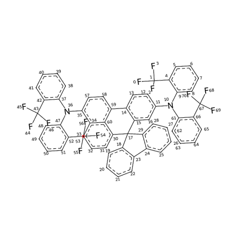 FC(F)(F)c1ccccc1N(c1ccc2c(c1)C1(c3ccccc3-c3ccccc31)c1cccc3c(N(c4ccccc4C(F)(F)F)c4ccccc4C(F)(F)F)ccc-2c13)c1ccccc1C(F)(F)F